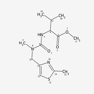 COC(=O)C(NC(=O)N(C)Cc1csc(C)n1)C(C)C